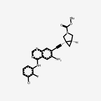 CC(C)(C)OC(=O)N1C[C@H]2C[C@@]2(C#Cc2cc3ncnc(Nc4cccc(Cl)c4F)c3cc2N)C1